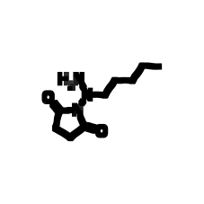 CCCCCN(N)N1C(=O)CCC1=O